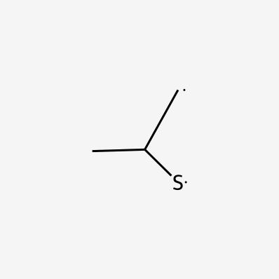 [CH2]C(C)[S]